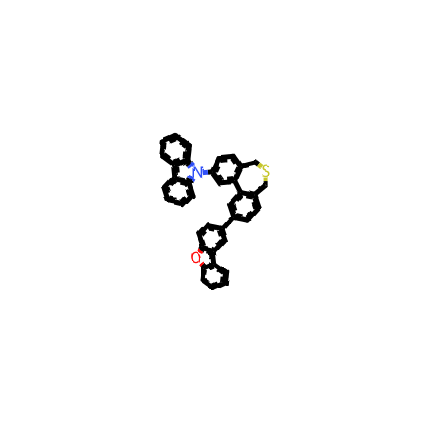 c1ccc2c(c1)oc1ccc(-c3ccc4c(c3)-c3cc(-n5c6ccccc6c6ccccc65)ccc3CSC4)cc12